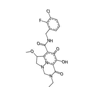 CCN1CN2CC(OC)c3c(C(=O)NCc4cccc(Cl)c4F)c(=O)c(O)c(n32)C1=O